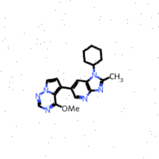 COc1ncnn2ccc(-c3cnc4nc(C)n(C5CCCCC5)c4c3)c12